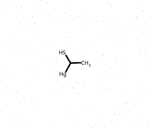 C[CH](S)[Hg]